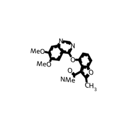 CNC(=O)c1c(C)oc2cccc(Oc3ncnc4cc(OC)c(OC)cc34)c12